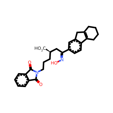 O=C(O)[C@H](CCCN1C(=O)c2ccccc2C1=O)CC(=NO)c1ccc2c(c1)CC1=C2CCCC1